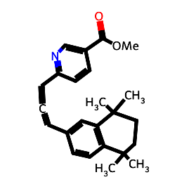 COC(=O)c1ccc(C=C=Cc2ccc3c(c2)C(C)(C)CCC3(C)C)nc1